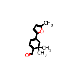 Cc1ccc(C2=CC=C(C=O)C(C)(C)C2)o1